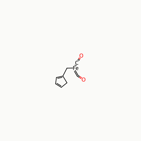 O=[C]=[Fe](=[C]=O)[CH2]C1=CC=CC1